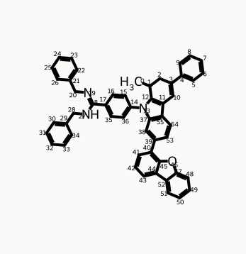 CC1CC(c2ccccc2)=Cc2c1n(-c1ccc(/C(=N/Cc3ccccc3)NCc3ccccc3)cc1)c1cc(-c3cccc4c3oc3ccccc34)ccc21